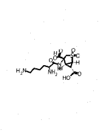 NCCCC[C@H](N)C(=O)N[C@@]1(C(=O)O)CS(=O)(=O)[C@H]2[C@H](C(=O)O)[C@H]21